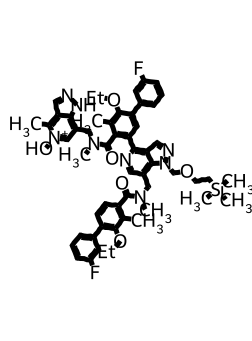 CCOc1c(-c2cccc(F)c2)ccc(C(=O)N(C)Cc2cnc(-c3cc(-c4cccc(F)c4)c(OCC)c(C)c3C(=O)N(C)Cc3c[n+](O)c(C)c4cn[nH]c34)c3cnn(COCC[Si](C)(C)C)c23)c1C